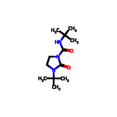 CC(C)(C)NC(=O)N1CCN(C(C)(C)C)C1=O